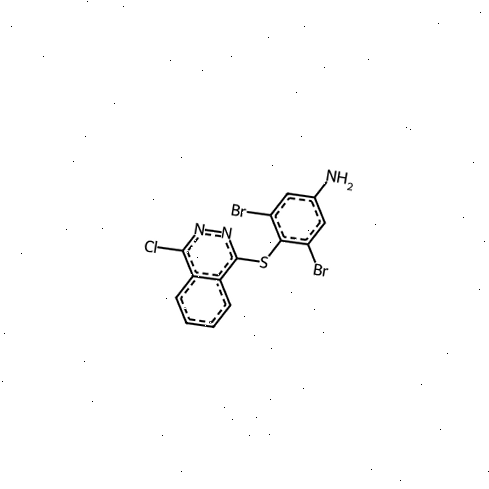 Nc1cc(Br)c(Sc2nnc(Cl)c3ccccc23)c(Br)c1